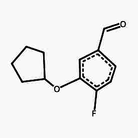 O=Cc1ccc(F)c(OC2CCCC2)c1